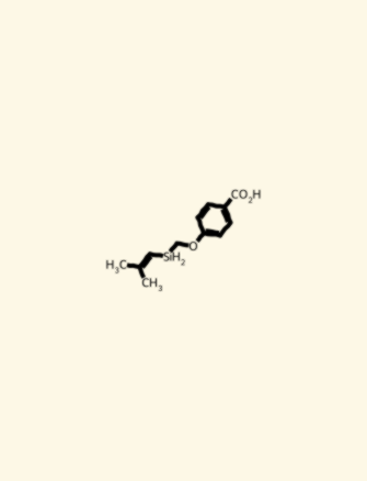 CC(C)=C[SiH2]COc1ccc(C(=O)O)cc1